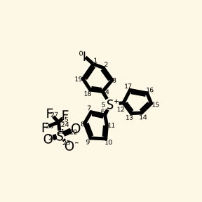 Ic1ccc([S+](c2ccccc2)c2ccccc2)cc1.O=S(=O)([O-])C(F)(F)F